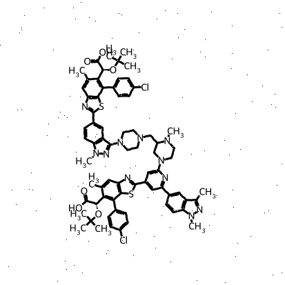 Cc1cc2nc(-c3cc(-c4ccc5c(c4)c(C)nn5C)nc(N4CCN(C)C(CN5CCN(c6nn(C)c7ccc(-c8nc9cc(C)c([C@H](OC(C)(C)C)C(=O)O)c(-c%10ccc(Cl)cc%10)c9s8)cc67)CC5)C4)c3)sc2c(-c2ccc(Cl)cc2)c1[C@H](OC(C)(C)C)C(=O)O